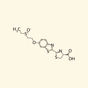 CC[S+]([O-])CCOc1ccc2nc(C3=N[C@@H](C(=O)O)CS3)sc2c1